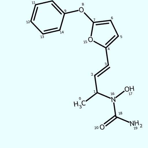 CC(C=Cc1ccc(Oc2ccccc2)o1)N(O)C(N)=O